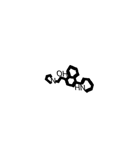 OC(CN1CCCC1)c1ccc(C2=CC=CC=CN2)c2ccccc12